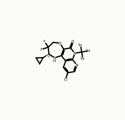 [2H]C([2H])([2H])n1c(=O)c2c(c3cc(Cl)cnc31)N[C@@H](C1CC1)C(F)(F)CO2